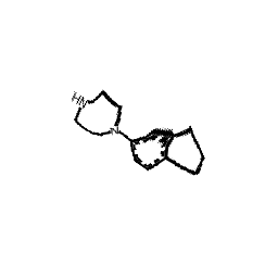 c1cc2c(cc1N1CCNCC1)CCC2